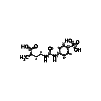 C=C(CCNC(=O)Nc1ccc(P(=O)(O)O)cc1)C(=O)O